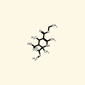 CCOC(=O)C1=C(C)NC(C)(C(C)SC)C(C(=O)O)C1C